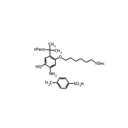 CCCCCCCCCCCCCCCCOc1cc(N)c(O)cc1C(C)(C)CCCCC.Cc1ccc(S(=O)(=O)O)cc1